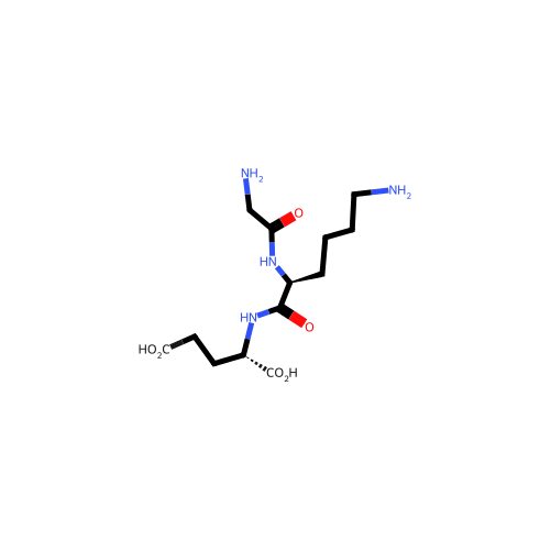 NCCCC[C@H](NC(=O)CN)C(=O)N[C@@H](CCC(=O)O)C(=O)O